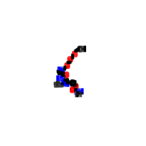 C#CCOCCOCCOCCn1nccc1C(=O)Nc1cc([C@@H]2CC[C@H](OC(=O)NC(C)C)C2)nn1C(C)(C)C